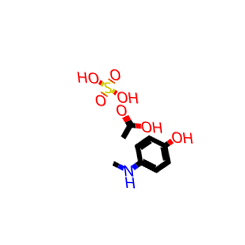 CC(=O)O.CNc1ccc(O)cc1.O=S(=O)(O)O